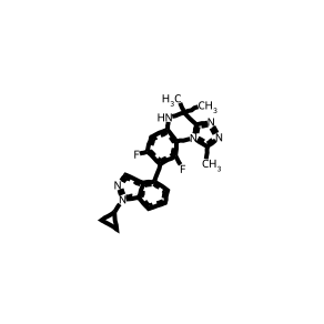 Cc1nnc2n1-c1c(cc(F)c(-c3cccc4c3cnn4C3CC3)c1F)NC2(C)C